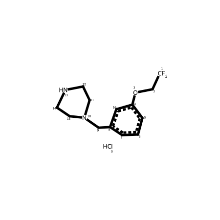 Cl.FC(F)(F)COc1cccc(CN2CCNCC2)c1